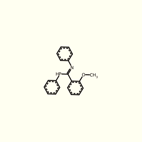 COc1ccccc1C(=Nc1ccccc1)Pc1ccccc1